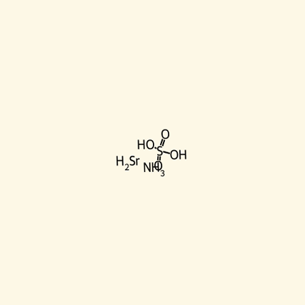 N.O=S(=O)(O)O.[SrH2]